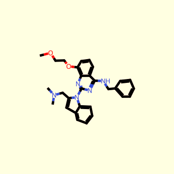 COCCOc1cccc2c(NCc3ccccc3)nc(-n3c(CN(C)C)cc4ccccc43)nc12